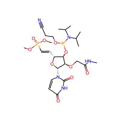 CNC(=O)CO[C@@H]1[C@H](OP(OCCC#N)N(C(C)C)C(C)C)[C@@H](/C=C/P(=O)(OC)OC)O[C@H]1n1ccc(=O)[nH]c1=O